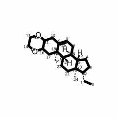 CC[C@H]1CC[C@H]2[C@@H]3CC=C4CC5OCCOC5C[C@]4(C)[C@H]3CC[C@]12C